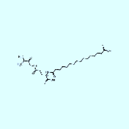 CC(C)C(=O)CNC(=O)CC[C@H](NC(=O)CCCCCCCCCCCCCCC(=O)O)C(=O)O